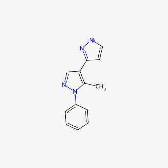 Cc1c(C2=N[N]C=C2)cnn1-c1ccccc1